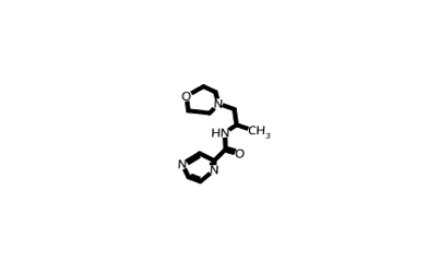 CC(CN1CCOCC1)NC(=O)c1cnccn1